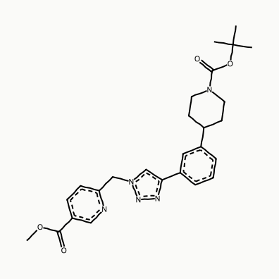 COC(=O)c1ccc(Cn2cc(-c3cccc(C4CCN(C(=O)OC(C)(C)C)CC4)c3)nn2)nc1